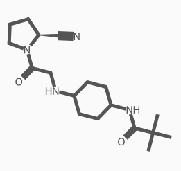 CC(C)(C)C(=O)NC1CCC(NCC(=O)N2CCC[C@H]2C#N)CC1